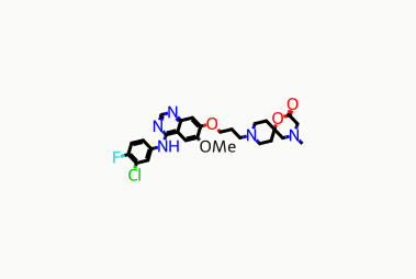 COc1cc2c(Nc3ccc(F)c(Cl)c3)ncnc2cc1OCCCN1CCC2(CC1)CN(C)CC(=O)O2